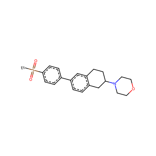 CCS(=O)(=O)c1ccc(-c2ccc3c(c2)CCC(N2CCOCC2)C3)cc1